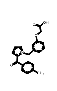 Cc1ccc(C(=O)c2cccn2Cc2cccc(OCC(=O)O)c2)cc1